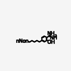 CCCCCCCCCCCCCCc1ccc(C(=N)N)c(O)c1